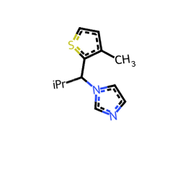 Cc1ccsc1C(C(C)C)n1ccnc1